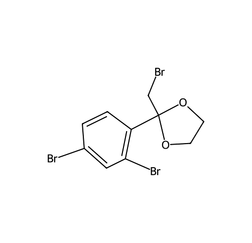 BrCC1(c2ccc(Br)cc2Br)OCCO1